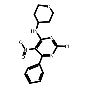 O=[N+]([O-])c1c(NC2CCOCC2)nc(Cl)nc1-c1ccccc1